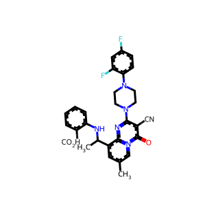 Cc1cc(C(C)Nc2ccccc2C(=O)O)c2nc(N3CCN(c4ccc(F)cc4F)CC3)c(C#N)c(=O)n2c1